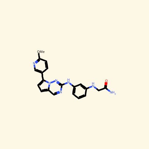 COc1ccc(-c2ccc3cnc(Nc4cccc(NCC(N)=O)c4)nn23)cn1